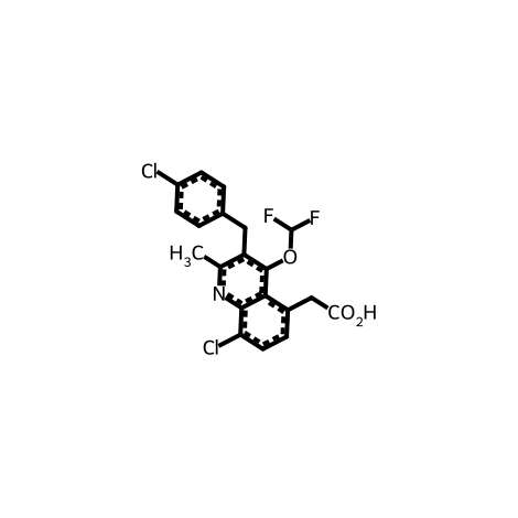 Cc1nc2c(Cl)ccc(CC(=O)O)c2c(OC(F)F)c1Cc1ccc(Cl)cc1